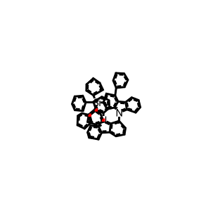 c1ccc(-c2ccccc2-n2c3ccccc3c3cccc(-n4c5ccccc5c5c(-c6ccccc6)cc([Si](c6ccccc6)(c6ccccc6)c6ccccc6)cc54)c32)cc1